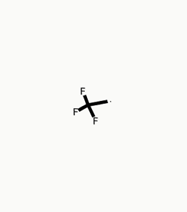 [CH2]C(F)(F)F